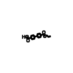 C=CCOC(=O)c1ccc(-c2ccc(C(=O)O)cc2)cc1